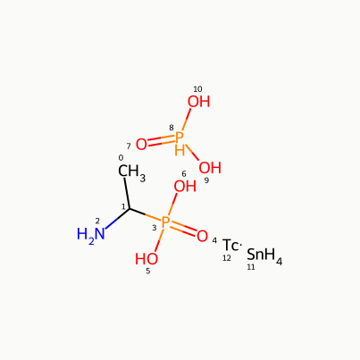 CC(N)P(=O)(O)O.O=[PH](O)O.[SnH4].[Tc]